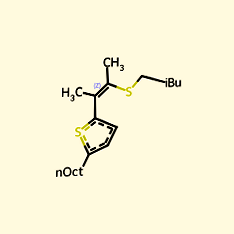 CCCCCCCCc1ccc(/C(C)=C(/C)SCC(C)CC)s1